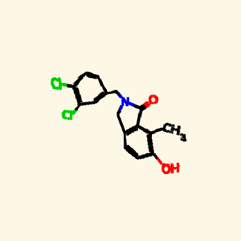 Cc1c(O)ccc2c1C(=O)N(Cc1ccc(Cl)c(Cl)c1)C2